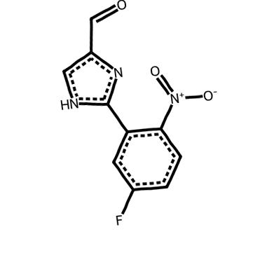 O=Cc1c[nH]c(-c2cc(F)ccc2[N+](=O)[O-])n1